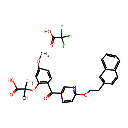 COc1ccc(C(=O)c2ccc(OCCc3ccc4ccccc4c3)nc2)c(OC(C)(C)C(=O)O)c1.O=C(O)C(F)(F)F